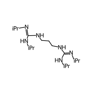 CC(C)N=C(NCCCNC(=NC(C)C)NC(C)C)NC(C)C